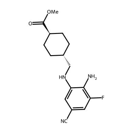 COC(=O)[C@H]1CC[C@H](CNc2cc(C#N)cc(F)c2N)CC1